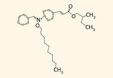 CCCCCCCCCCO[N+](=Cc1ccccc1)c1ccc(C=CC(=O)OCC(C)CC)cc1